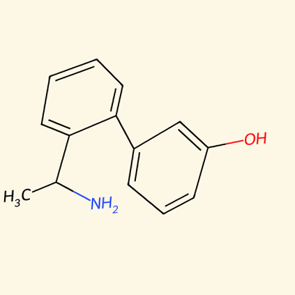 CC(N)c1ccccc1-c1cccc(O)c1